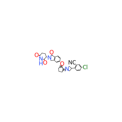 N#Cc1cc(Cl)ccc1C1CN([C@@H]2CCC[C@H]2Oc2ccc3c(c2)CN(C2CCC(=O)NC2=O)C3=O)C1